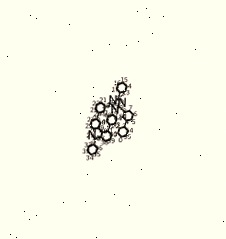 c1ccc(-c2cccc(-c3nc(-c4ccccc4)nc(-c4cccc(-c5ccc6nc(-c7ccccc7)c7cccc(-c8ccccc8)c7c6c5)c4)n3)c2)cc1